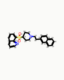 O=S(=O)(c1cccc2cccnc12)C1CCN(CCc2ccc3ccccc3c2)CC1